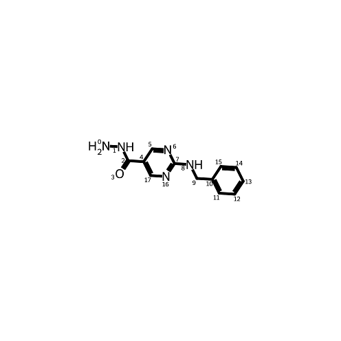 NNC(=O)c1cnc(NCc2ccccc2)nc1